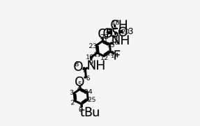 CC(C)(C)c1ccc(OCC(=O)NCc2cc(F)c(NS(C)(=O)=O)c(C(F)(F)F)c2)cc1